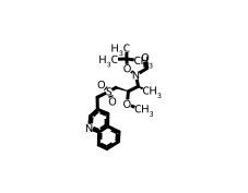 CO[C@@H](CS(=O)(=O)Cc1cnc2ccccc2c1)[C@H](C)N(C=O)OC(C)(C)C